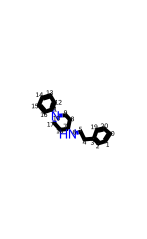 c1ccc(CCNC2CCN(c3ccccc3)CC2)cc1